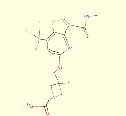 CNC(=O)c1csc2c(C(F)(F)F)cc(OCC3(F)CN(C(=O)O)C3)nc12